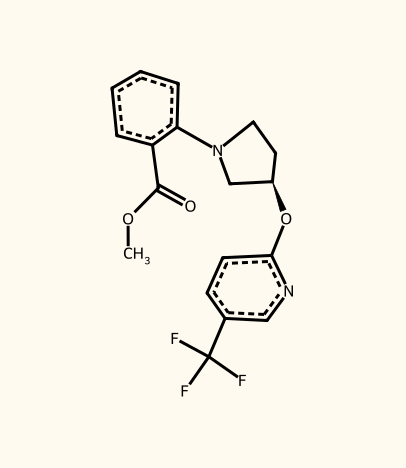 COC(=O)c1ccccc1N1CC[C@@H](Oc2ccc(C(F)(F)F)cn2)C1